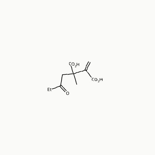 C=C(C(=O)O)C(C)(CC(=O)CC)C(=O)O